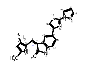 Cc1cc(C)c(/C=C2\C(=O)Nc3ccc(-c4csc(-n5cccn5)n4)cc32)[nH]1